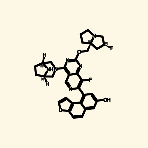 Oc1cc(-c2ncc3c(N4C[C@H]5CC[C@@H](C4)N5)nc(OC[C@@]45CCCN4C[C@H](F)C5)nc3c2F)c2c(ccc3occc32)c1